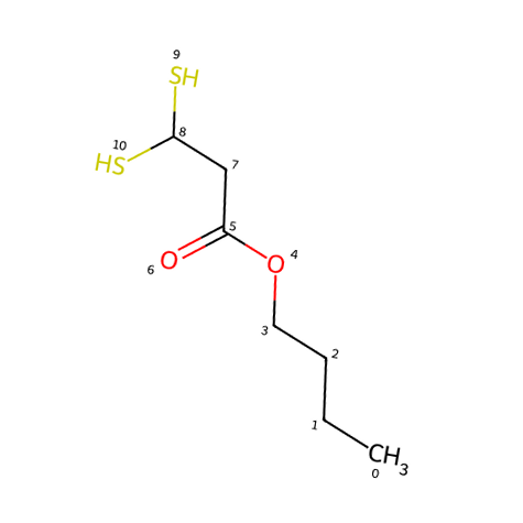 CCCCOC(=O)CC(S)S